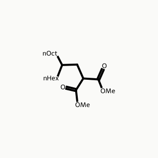 CCCCCCCCC(CCCCCC)CC(C(=O)OC)C(=O)OC